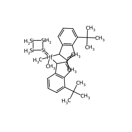 CC1=Cc2c(cccc2C(C)(C)C)[CH]1[Hf]([CH3])([CH3])([CH]1C(C)=Cc2c1cccc2C(C)(C)C)=[Si]1[SiH2][SiH2][SiH2]1